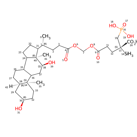 C[C@H](CCC(=O)OCOC(=O)CC[C@@]([SiH3])(CP(=O)(O)O)C(=O)O)C1CCC2C3CC[C@@H]4C[C@H](O)CC[C@]4(C)C3C[C@H](O)[C@@]21C